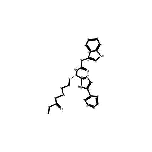 CCC(=O)CCCCC[C@H](NC(=O)Cc1csc2ccccc12)c1ncc(-c2ccccc2)[nH]1